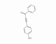 O=C(C#Cc1ccc(O)cc1)c1ccccc1